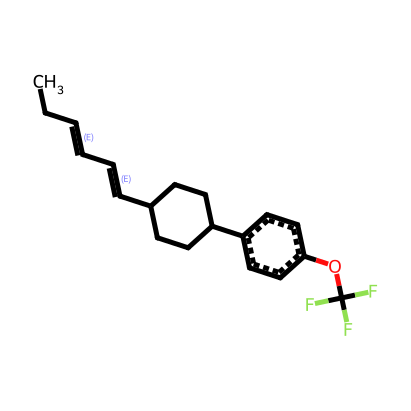 CC/C=C/C=C/C1CCC(c2ccc(OC(F)(F)F)cc2)CC1